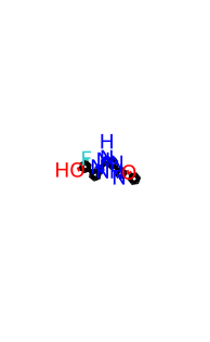 Oc1cc(F)cc(-c2cccc3[nH]c(-c4n[nH]c5cnc(-c6cncc(OC7CCCCC7)c6)cc45)nc23)c1